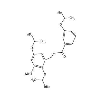 CCCCC(C)Oc1cccc(C(=O)CCc2cc(OC(C)CCCC)cc(OC)c2OC(C)CCCC)c1